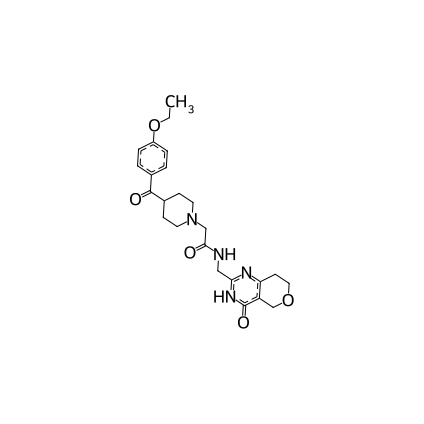 CCOc1ccc(C(=O)C2CCN(CC(=O)NCc3nc4c(c(=O)[nH]3)COCC4)CC2)cc1